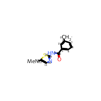 [CH2]c1cccc(C(=O)Nc2ncc(NC)s2)c1